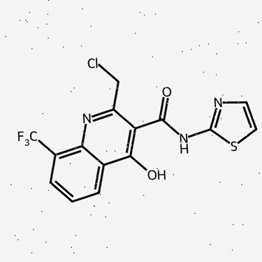 O=C(Nc1nccs1)c1c(CCl)nc2c(C(F)(F)F)cccc2c1O